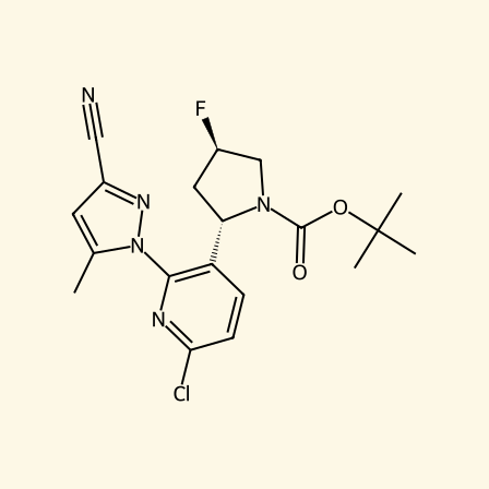 Cc1cc(C#N)nn1-c1nc(Cl)ccc1[C@@H]1C[C@@H](F)CN1C(=O)OC(C)(C)C